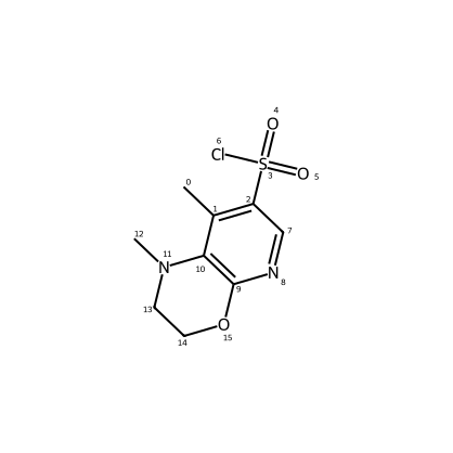 Cc1c(S(=O)(=O)Cl)cnc2c1N(C)CCO2